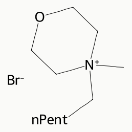 CCCCCC[N+]1(C)CCOCC1.[Br-]